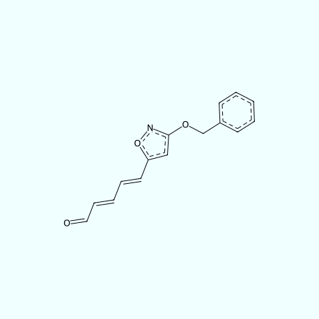 O=C/C=C/C=C/c1cc(OCc2ccccc2)no1